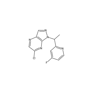 CC(c1cc(F)ccn1)n1ncc2ncc(Cl)nc21